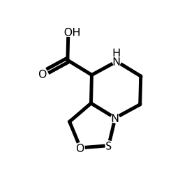 O=C(O)C1NCCN2SOCC12